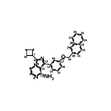 Nc1nccn2c(C3CCC3)nc(-c3cccc(OCc4ccc5ccccc5c4)c3)c12